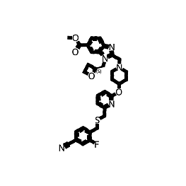 COC(=O)c1ccc2nc(CN3CCC(Oc4cccc(CSCc5ccc(C#N)cc5F)n4)CC3)n(C[C@@H]3CCO3)c2c1